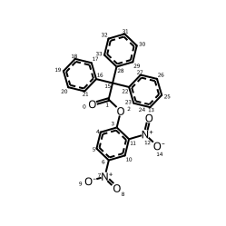 O=C(Oc1ccc([N+](=O)[O-])cc1[N+](=O)[O-])C(c1ccccc1)(c1ccccc1)c1ccccc1